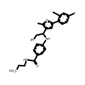 Cc1cc(F)ccc1-c1cc(C(CC(C)C)Nc2ccc(C(=O)NCCC(=O)O)cc2)c(C)o1